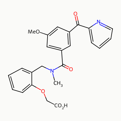 COc1cc(C(=O)c2ccccn2)cc(C(=O)N(C)Cc2ccccc2OCC(=O)O)c1